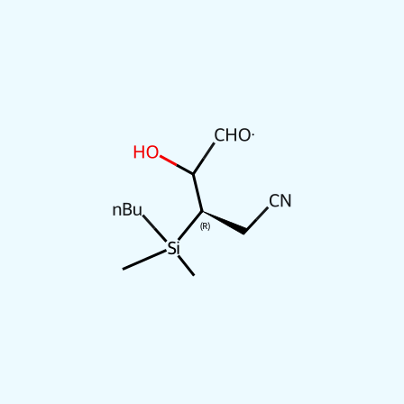 CCCC[Si](C)(C)[C@H](CC#N)C(O)[C]=O